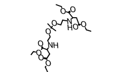 CCOC(=O)CC(NCCOC(C)(C)OCCNC(CC(=O)OCC)C(=O)OCC)C(=O)OCC